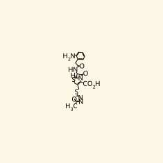 Cc1nnc(SCC2=C(C(=O)O)N3C(=O)C(NC(=O)Cc4ccccc4N)[C@H]3SC2)o1